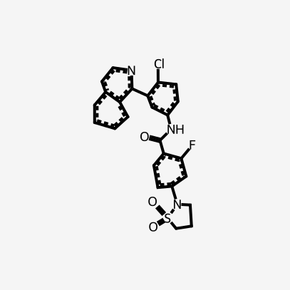 O=C(Nc1ccc(Cl)c(-c2nccc3ccccc23)c1)c1ccc(N2CCCS2(=O)=O)cc1F